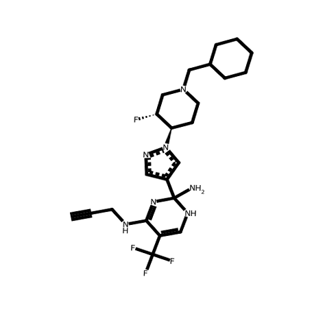 C#CCNC1=NC(N)(c2cnn([C@@H]3CCN(CC4CCCCC4)C[C@H]3F)c2)NC=C1C(F)(F)F